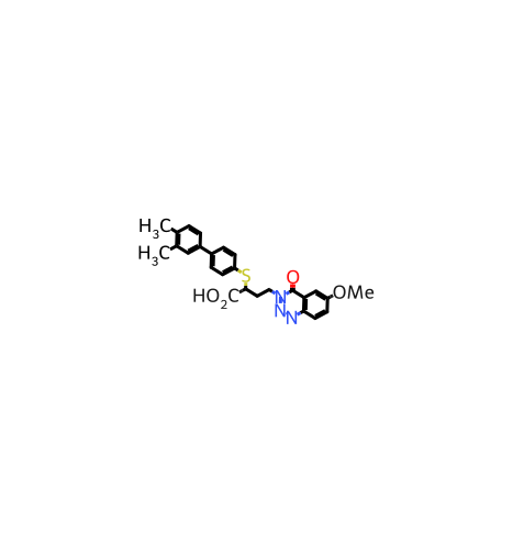 COc1ccc2nnn(CCC(Sc3ccc(-c4ccc(C)c(C)c4)cc3)C(=O)O)c(=O)c2c1